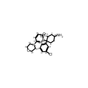 CC1CC(N)CCC1(c1cccc(Cl)c1)n1nc(N2CCOCC2)ccc1=O